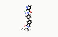 CC(C)C(C(=O)O)N1Cc2ccc(-c3ccc(NC(=O)c4cccnc4Cl)cc3)cc2C1=O